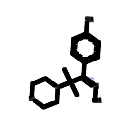 CC(C)(/C(=N\O)c1ccc(S)cc1)N1CCOCC1